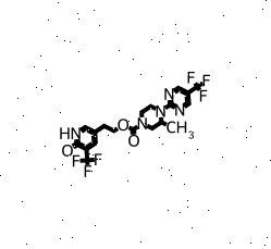 CC1CN(C(=O)OCCc2c[nH]c(=O)c(C(F)(F)F)c2)CCN1c1ncc(C(F)(F)F)cn1